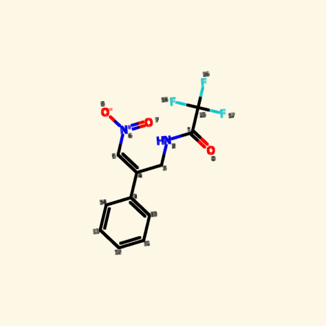 O=C(NCC(=C[N+](=O)[O-])c1ccccc1)C(F)(F)F